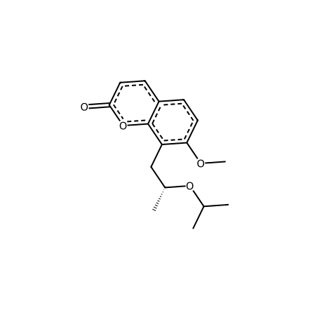 COc1ccc2ccc(=O)oc2c1C[C@@H](C)OC(C)C